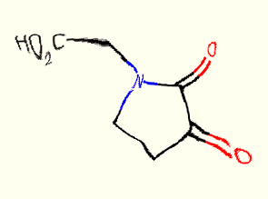 O=C(O)CN1CCC(=O)C1=O